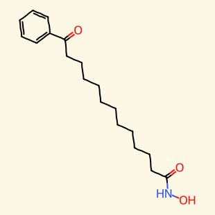 O=C(CCCCCCCCCCCC(=O)c1ccccc1)NO